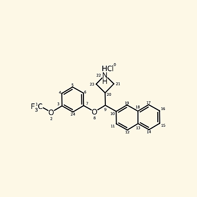 Cl.FC(F)(F)Oc1cccc(OC(c2ccc3ccccc3c2)C2CNC2)c1